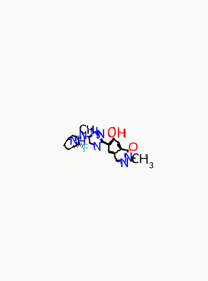 CN(c1cnc(-c2cc3cnn(C)c(=O)c3cc2O)nn1)[C@H]1CC2CCC(N2)[C@H]1F